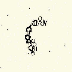 CC(C)(C)OC(=O)N1CCN(CC2CCN(c3ccc4c(c3)C(=O)N(C3CCC(=O)NC3=O)C4)CC2)CC1